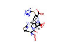 CO/N=C(\C(=O)N1C[C@H]2CC(Sc3nnnn3C)=C(C(=O)O)N3C(=O)[C@@H]1[C@@H]23)c1csc(N)n1